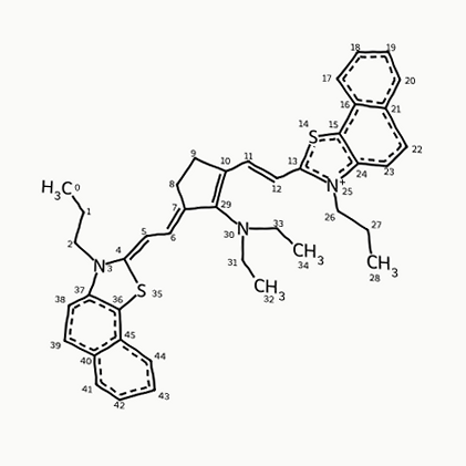 CCCN1C(=CC=C2CCC(C=Cc3sc4c5ccccc5ccc4[n+]3CCC)=C2N(CC)CC)Sc2c1ccc1ccccc21